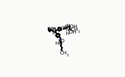 CCCCCCNC(=O)/C=C/c1ccc(-c2sc(-c3ccc[nH]3)nc2-c2ccc(OCC(=O)NC(C(=O)O)C(C)O)cc2)cc1